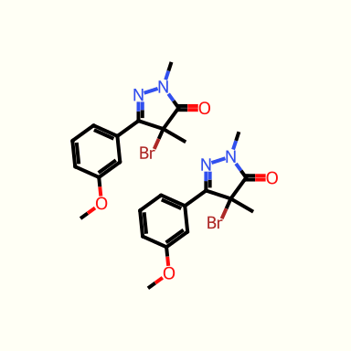 COc1cccc(C2=NN(C)C(=O)C2(C)Br)c1.COc1cccc(C2=NN(C)C(=O)C2(C)Br)c1